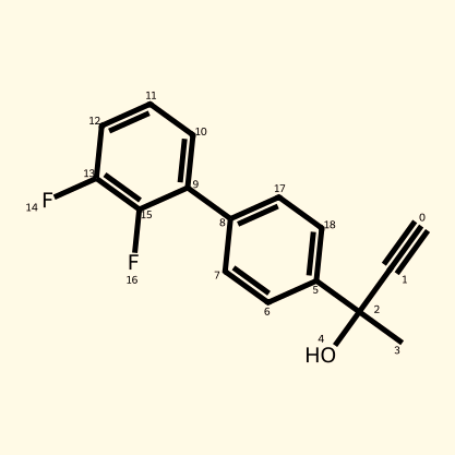 C#CC(C)(O)c1ccc(-c2cccc(F)c2F)cc1